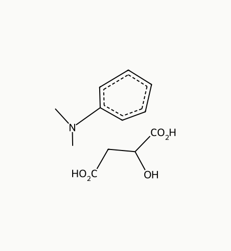 CN(C)c1ccccc1.O=C(O)CC(O)C(=O)O